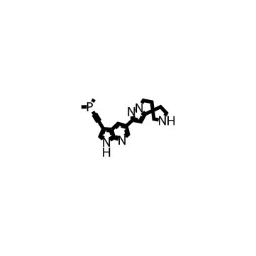 CP(C)C#Cc1c[nH]c2ncc(-c3cc4n(n3)CCC43CCNC3)cc12